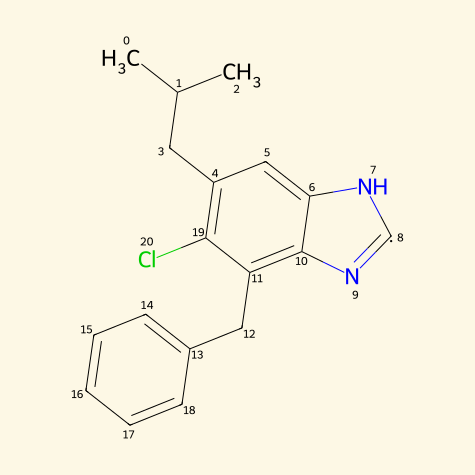 CC(C)Cc1cc2[nH][c]nc2c(Cc2ccccc2)c1Cl